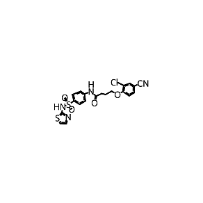 N#Cc1ccc(OCCCC(=O)Nc2ccc(S(=O)(=O)Nc3nccs3)cc2)c(Cl)c1